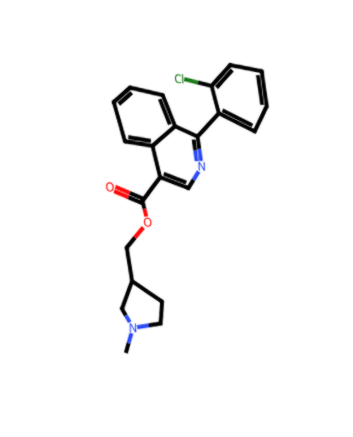 CN1CCC(COC(=O)c2cnc(-c3ccccc3Cl)c3ccccc23)C1